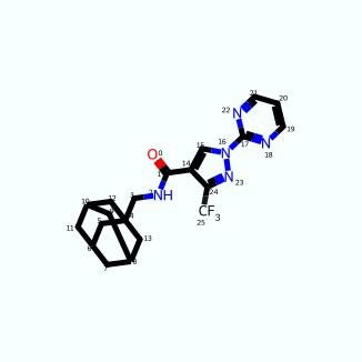 O=C(NCC12CC3CC(CC(C3)C1)C2)c1cn(-c2ncccn2)nc1C(F)(F)F